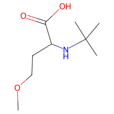 COCCC(NC(C)(C)C)C(=O)O